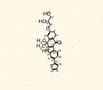 CC1(C)C2=C(CCC(OC[C@H](O)CO)=C2)C(=O)c2c1[nH]c1cc(-c3cccs3)ccc21